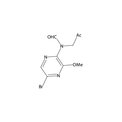 COc1nc(Br)cnc1N(C=O)CC(C)=O